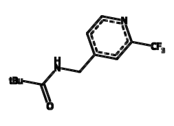 CC(C)(C)C(=O)NCc1ccnc(C(F)(F)F)c1